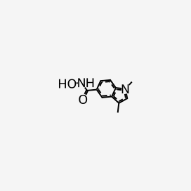 Cc1cn(C)c2ccc(C(=O)NO)cc12